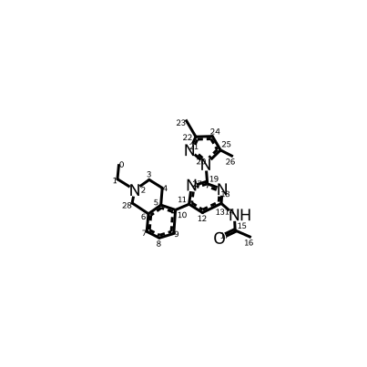 CCN1CCc2c(cccc2-c2cc(NC(C)=O)nc(-n3nc(C)cc3C)n2)C1